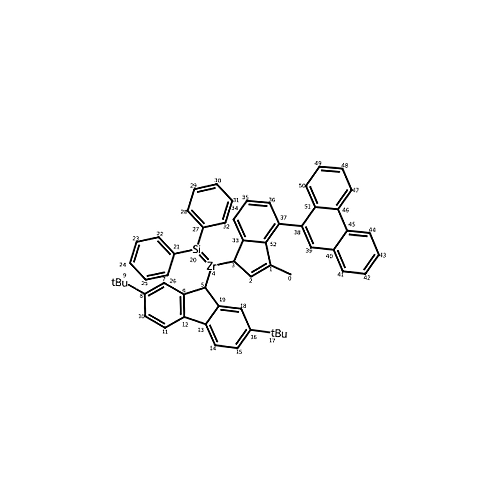 CC1=C[CH]([Zr]([CH]2c3cc(C(C)(C)C)ccc3-c3ccc(C(C)(C)C)cc32)=[Si](c2ccccc2)c2ccccc2)c2cccc(-c3cc4ccccc4c4ccccc34)c21